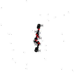 CC1(C(=O)NCCCc2ccc3c(n2)NCCC3)CCN(C(Cc2ccc(C(C(=O)O)N3CCC(C)(C(=O)NCCCc4ccc5c(n4)NCCC5)CC3)cc2)C(=O)O)CC1